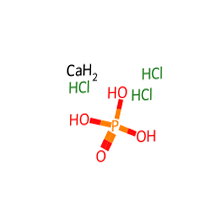 Cl.Cl.Cl.O=P(O)(O)O.[CaH2]